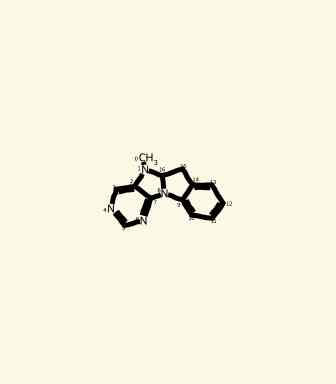 CN1c2cncnc2N2c3ccccc3CC12